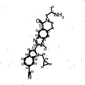 C[C@@H](N)CN1CCc2cc3c(cc2C1=O)nc(-c1cc2ccc(C#N)cc2n1CC1CC1)n3C